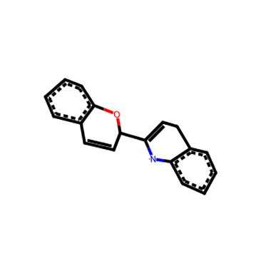 C1=CC(C2=CCc3ccccc3[N]2)Oc2ccccc21